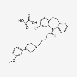 COc1cccc(N2CCN(CCCCC(=O)N3c4ccccc4CCc4ccc(Cl)cc43)CC2)c1.O=C(O)C(=O)O